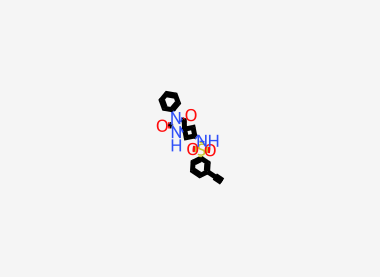 C#Cc1cccc(S(=O)(=O)NC2CC3(C2)NC(=O)N(c2ccccc2)C3=O)c1